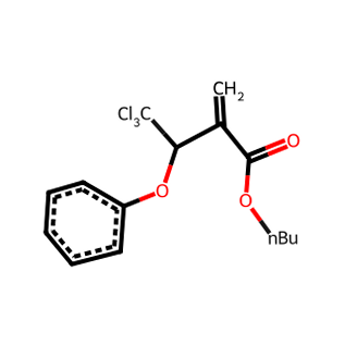 C=C(C(=O)OCCCC)C(Oc1ccccc1)C(Cl)(Cl)Cl